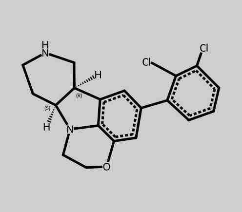 Clc1cccc(-c2cc3c4c(c2)[C@@H]2CNCC[C@@H]2N4CCO3)c1Cl